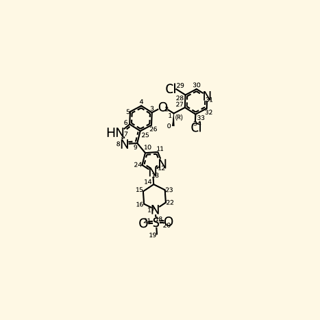 C[C@@H](Oc1ccc2[nH]nc(-c3cnn(C4CCN(S(C)(=O)=O)CC4)c3)c2c1)c1c(Cl)cncc1Cl